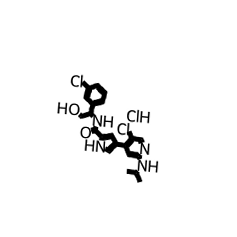 CC(C)Nc1cc(-c2c[nH]c(C(=O)NC(CO)c3cccc(Cl)c3)c2)c(Cl)cn1.Cl